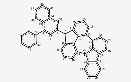 c1ccc(-c2nc(C3c4cccc5c4-c4c3cccc4-n3c4ccccc4c4cccc-5c43)nc3ccccc23)cc1